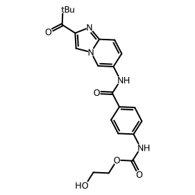 CC(C)(C)C(=O)c1cn2cc(NC(=O)c3ccc(NC(=O)OCCO)cc3)ccc2n1